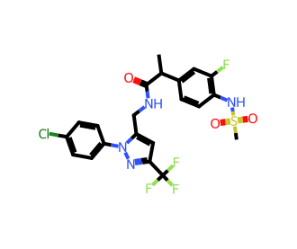 CC(C(=O)NCc1cc(C(F)(F)F)nn1-c1ccc(Cl)cc1)c1ccc(NS(C)(=O)=O)c(F)c1